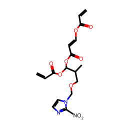 C=CC(=O)OC=CC(=O)OC(OC(=O)C=C)C(C)COCn1ccnc1[N+](=O)[O-]